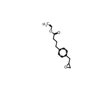 C=COC(=O)CCCc1ccc(CC2CO2)cc1